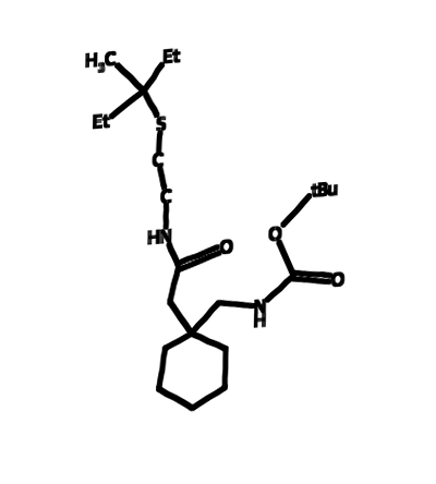 CCC(C)(CC)SCCNC(=O)CC1(CNC(=O)OC(C)(C)C)CCCCC1